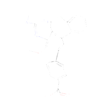 CNc1ncc2c(-c3ccccc3Cl)cc(-c3ccc(C(=O)O)cc3)c(OC)c2n1